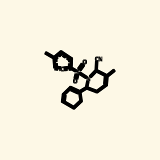 CC1=CCC(C2=CC=CCC2)N(S(=O)(=O)c2ccc(C)cc2)C1C#N